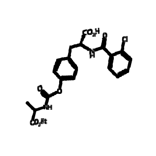 CCOC(=O)C(C)NC(=O)Oc1ccc(C[C@H](NC(=O)c2ccccc2Cl)C(=O)O)cc1